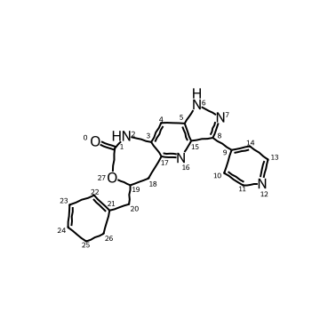 O=C1Nc2cc3[nH]nc(-c4ccncc4)c3nc2CC(CC2=CC=CCC2)O1